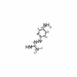 CN(C)C(=N)N=Nc1ccc(N)cc1